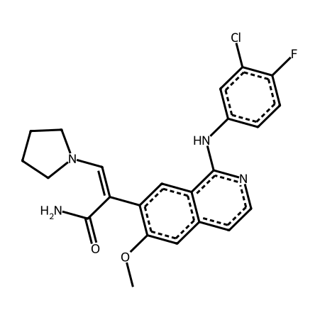 COc1cc2ccnc(Nc3ccc(F)c(Cl)c3)c2cc1C(=CN1CCCC1)C(N)=O